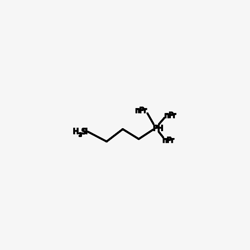 CCC[PH](CCC)(CCC)CCC[SiH3]